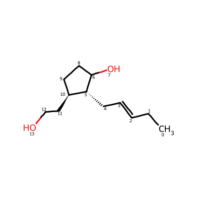 CCC=CC[C@H]1C(O)CC[C@@H]1CCO